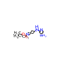 CC(C)(C)OC(=O)N1CC2(CC(Nc3cc(N)ccn3)C2)C1